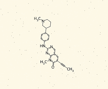 CC#Cc1cc2cnc(Nc3ccc(C4CCCN(C)C4)cc3)nc2n(C)c1=O